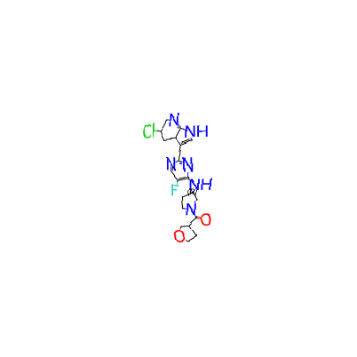 O=C(C1CCOC1)N1CC[C@@H](Nc2nc(C3=CNC4=NCC(Cl)CC34)ncc2F)C1